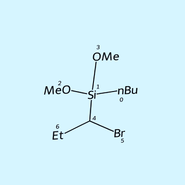 CCCC[Si](OC)(OC)C(Br)CC